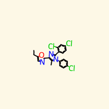 CCc1cnc(-c2nc(-c3ccc(Cl)cc3Cl)n(-c3ccc(Cl)cc3)c2C)o1